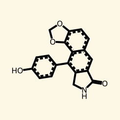 O=C1NCc2c1cc1ccc3c(c1c2-c1ccc(O)cc1)OCO3